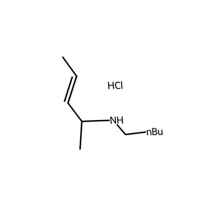 C/C=C/C(C)NCCCCC.Cl